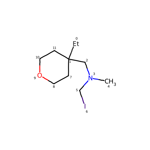 CCC1(CN(C)CI)CCOCC1